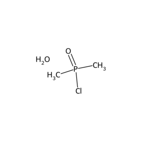 CP(C)(=O)Cl.O